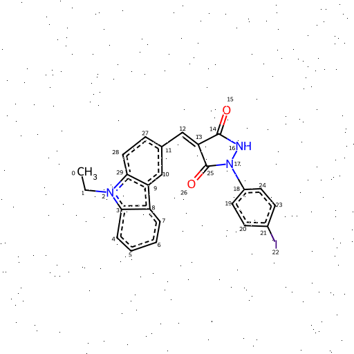 CCn1c2ccccc2c2cc(C=C3C(=O)NN(c4ccc(I)cc4)C3=O)ccc21